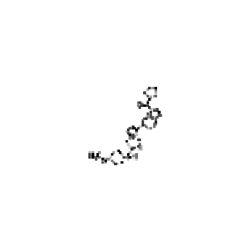 CO[C@H]1CC[C@@H](Nc2ncc3c(-c4ccc5ncc(C(=O)N6CCCC6)n5c4)ccn3n2)CC1